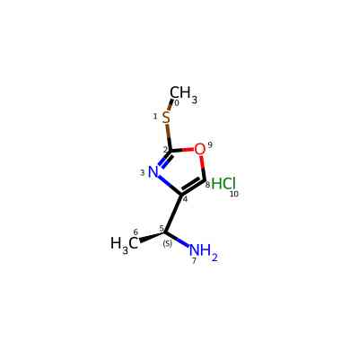 CSc1nc([C@H](C)N)co1.Cl